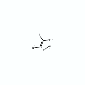 CC(=O)F.FC(F)=CBr